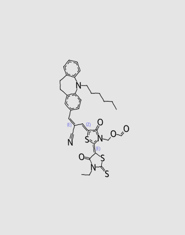 CCCCCCN1c2ccccc2CCc2cc(/C=C(C#N)\C=c3/s/c(=C4/SC(=S)N(CC)C4=O)n(COC=O)c3=O)ccc21